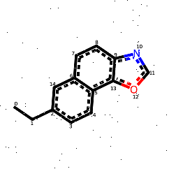 CCc1ccc2c(ccc3ncoc32)c1